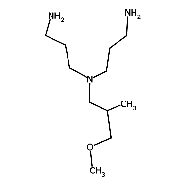 COCC(C)CN(CCCN)CCCN